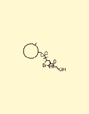 CC1CCCCCCCCCCCCCC(COC(=O)C(C)(C)C(C)CC(C(=O)NCCO)C(C)Br)CC1